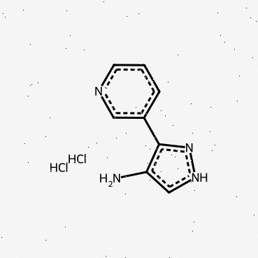 Cl.Cl.Nc1c[nH]nc1-c1cccnc1